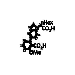 CCCCCCC(C(=O)O)n1ccc2cc(-c3cccc(OC)c3C(=O)O)ccc21